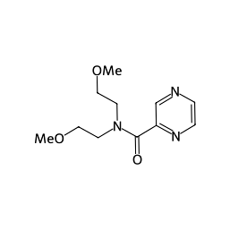 COCCN(CCOC)C(=O)c1cnccn1